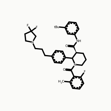 Cc1cccc(F)c1C(=O)N1CCC[C@H](C(=O)Nc2cccc(C(C)(C)C)c2)C1c1ccc(CCCN2CCC(F)(F)C2)cc1